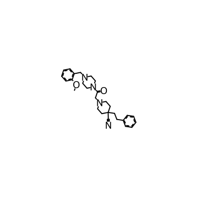 COc1ccccc1CN1CCN(C(=O)CN2CCC(C#N)(CCc3ccccc3)CC2)CC1